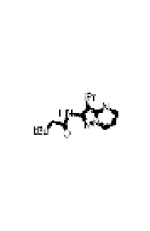 CC(C)c1c(NC(=O)CC(C)(C)C)nn2cccnc12